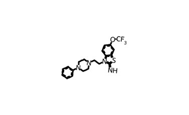 N=c1sc2cc(OC(F)(F)F)ccc2n1CCN1CCN(c2ccccc2)CC1